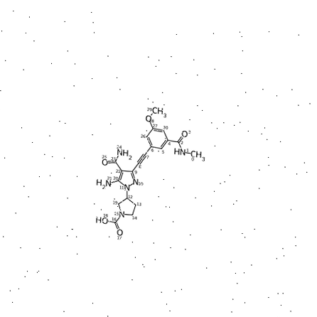 CNC(=O)c1cc(C#Cc2nn(C3CCN(C(=O)O)C3)c(N)c2C(N)=O)cc(OC)c1